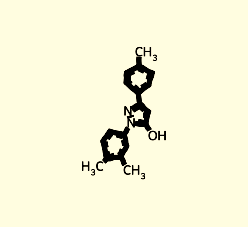 Cc1ccc(-c2cc(O)n(-c3ccc(C)c(C)c3)n2)cc1